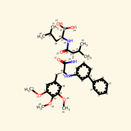 COc1cc(C[C@@H](Nc2cccc(-c3ccccc3)c2)C(=O)N[C@H](C(=O)N[C@@H](CC(C)C)B(O)O)C(C)C)cc(OC)c1OC